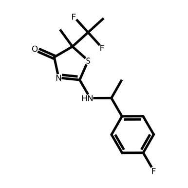 CC(NC1=NC(=O)C(C)(C(C)(F)F)S1)c1ccc(F)cc1